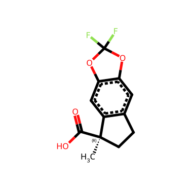 C[C@@]1(C(=O)O)CCc2cc3c(cc21)OC(F)(F)O3